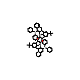 CC(C)(C)c1cc2c3cc4ccccc4c(N(c4ccccc4)c4ccccc4)c3n3c4nc5c6cc(C(C)(C)C)cc7c8c9ccccc9cc(N(c9ccccc9)c9ccccc9)c8n(c5nc4c(c1)c23)c67